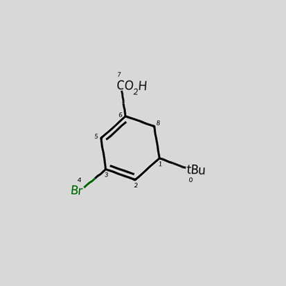 CC(C)(C)C1C=C(Br)C=C(C(=O)O)C1